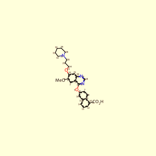 COc1cc2c(Oc3ccc4c(C(=O)O)cccc4c3)ncnc2cc1OCCCN1CCCCC1